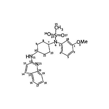 COc1cccc(N(C2CCC(Nc3ccc4ccccc4n3)CC2)S(C)(=O)=O)c1